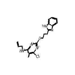 C=CCNc1nc(OCCCc2nc3ccccc3[nH]2)nc(Cl)c1C